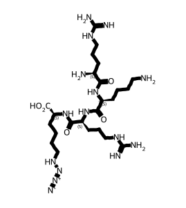 [N-]=[N+]=NNCCCC[C@H](NC(=O)[C@H](CCCNC(=N)N)NC(=O)[C@H](CCCCN)NC(=O)[C@@H](N)CCCNC(=N)N)C(=O)O